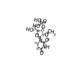 COC1C(OP(=O)(O)O)[C@H](CO)O[C@@H]1n1ccc(=O)[nH]c1=O